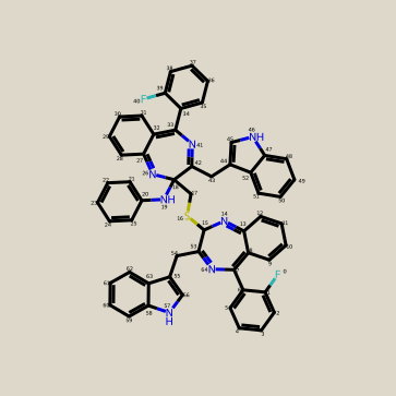 Fc1ccccc1C1=c2ccccc2=NC(SCC2(Nc3ccccc3)N=c3ccccc3=C(c3ccccc3F)N=C2Cc2c[nH]c3ccccc23)C(Cc2c[nH]c3ccccc23)=N1